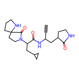 C#CC(CC1CCNC1=O)NC(=O)C(CC1CC1)N1CCC2(CCCN2)C1=O